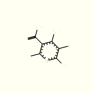 Nc1c(I)c(Cl)nc(Cl)c1C(=O)O